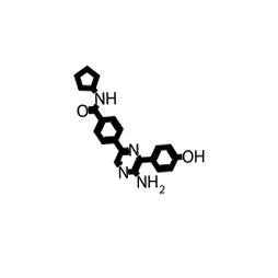 Nc1ncc(-c2ccc(C(=O)NC3CCCC3)cc2)nc1-c1ccc(O)cc1